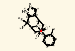 Cc1ccccc1S(=O)(=O)N1C2COCC1C(F)(F)c1[nH]ncc12